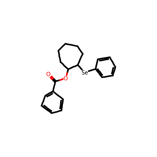 O=C(OC1CCCCCC1[Se]c1ccccc1)c1ccccc1